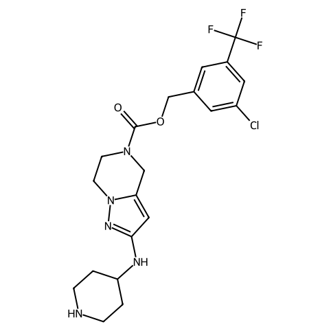 O=C(OCc1cc(Cl)cc(C(F)(F)F)c1)N1CCn2nc(NC3CCNCC3)cc2C1